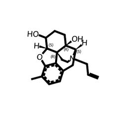 C=CCN1CC[C@@]23c4c5ccc(C)c4O[C@@H]2C(O)CC[C@]3(O)[C@@H]1C5